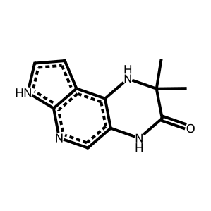 CC1(C)Nc2c(cnc3[nH]ccc23)NC1=O